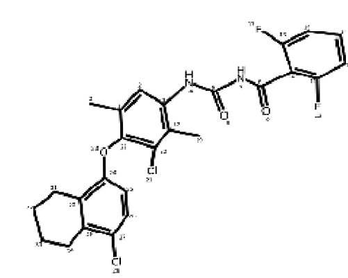 Cc1cc(NC(=O)NC(=O)c2c(F)cccc2F)c(C)c(Cl)c1Oc1ccc(Cl)c2c1CCCC2